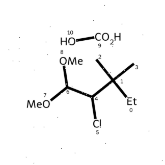 CCC(C)(C)C(Cl)C(OC)OC.O=C(O)O